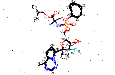 CCC(CC)COC(=O)C(C)(C)NP(=O)(OC[C@H]1O[C@@](C#N)(c2ccc3c(C)ncnn23)[C@](C)(F)[C@@H]1O)Oc1ccccc1